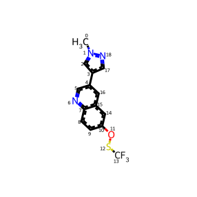 Cn1cc(-c2cnc3ccc(OSC(F)(F)F)cc3c2)cn1